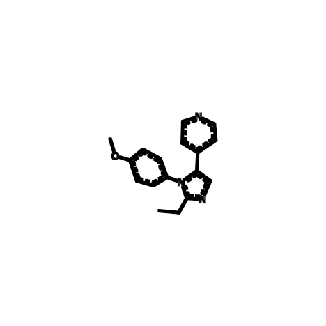 CCc1ncc(-c2ccncc2)n1-c1ccc(OC)cc1